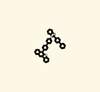 c1ccc(-c2ccc(-c3nc4ccccc4n3-c3ccc(-c4ccc(-c5c6ccccc6cc6c5oc5ccccc56)cc4)cc3)cc2)cc1